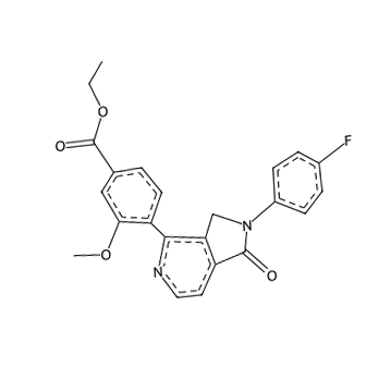 CCOC(=O)c1ccc(-c2nccc3c2CN(c2ccc(F)cc2)C3=O)c(OC)c1